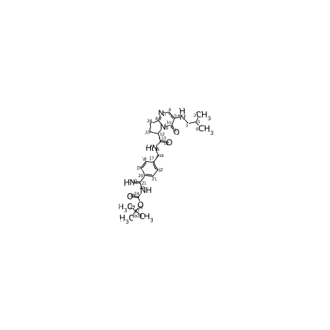 CC(C)CNc1cnc2n(c1=O)C(C(=O)NCc1ccc(C(=N)NC(=O)OC(C)(C)C)cc1)CC2